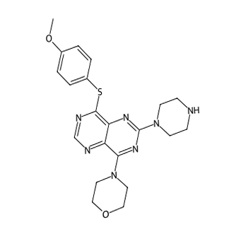 COc1ccc(Sc2ncnc3c(N4CCOCC4)nc(N4CCNCC4)nc23)cc1